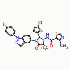 Cc1ncsc1C(=O)N[C@H]1C(C)C(=O)N(c2ccc3c(cnn3-c3ccc(F)cc3)c2)C1c1ccc(Cl)s1